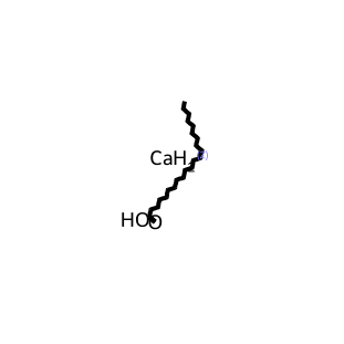 CCCCCCCC/C=C\CCCCCCCCCCCC(=O)O.[CaH2]